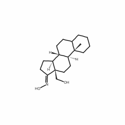 C[C@]12CCCCC1CC[C@H]1[C@@H]3CCC(=NO)[C@@]3(CO)CC[C@@H]12